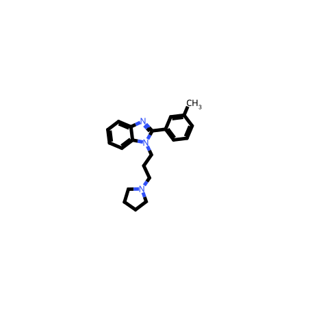 Cc1cccc(-c2nc3ccccc3n2CCCN2CCCC2)c1